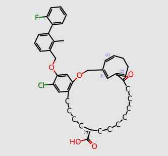 Cc1c(COc2cc3c(cc2Cl)CCCC[C@H](C(=O)O)CCCCCCCC(=O)C2=C\CC\C=C/C(=C\2)CO3)cccc1-c1ccccc1F